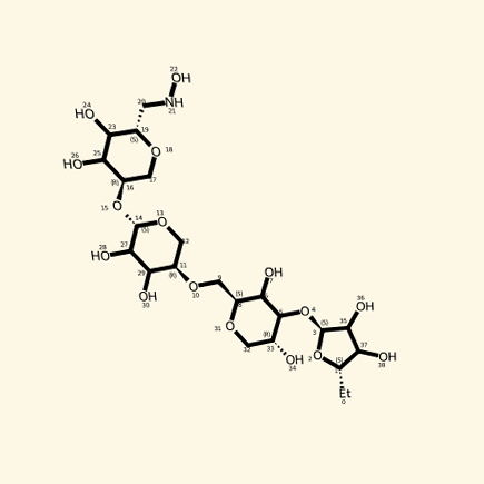 CC[C@@H]1O[C@@H](OC2C(O)[C@H](CO[C@@H]3CO[C@@H](O[C@@H]4CO[C@@H](CNO)C(O)C4O)C(O)C3O)OC[C@H]2O)C(O)C1O